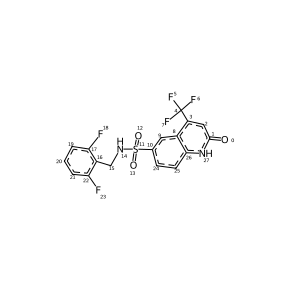 O=c1cc(C(F)(F)F)c2cc(S(=O)(=O)NCc3c(F)cccc3F)ccc2[nH]1